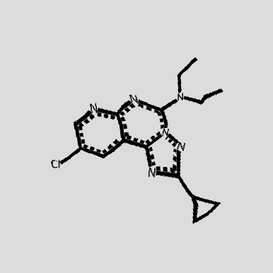 CCN(CC)c1nc2ncc(Cl)cc2c2nc(C3CC3)nn12